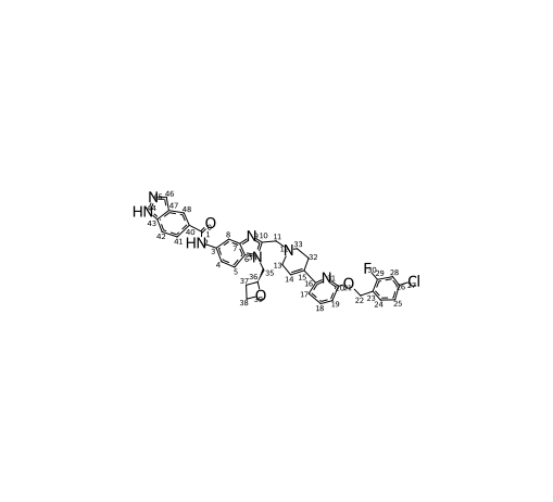 O=C(Nc1ccc2c(c1)nc(CN1CC=C(c3cccc(OCc4ccc(Cl)cc4F)n3)CC1)n2C[C@@H]1CCO1)c1ccc2[nH]ncc2c1